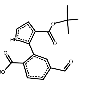 CC(C)(C)OC(=O)c1cc[nH]c1-c1cc(C=O)ccc1C(=O)O